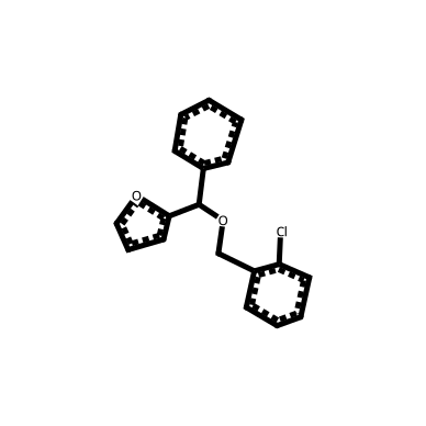 Clc1ccccc1COC(c1ccccc1)c1ccco1